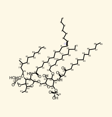 CCCCCC/C=C\CCCCCCCCCC(=O)NC1C(OCC2OC(OP(C)(=O)O)C(NC(=O)CC(=O)CCCCCCCCCCC)C(OCCCCCCCCCC)C2O)OC(CC)C(OP(=O)(O)O)C1OCCC(C)CCCCCCC